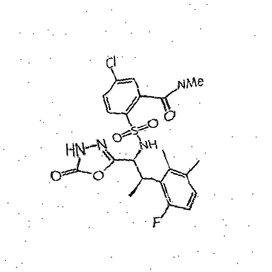 CNC(=O)c1cc(Cl)ccc1S(=O)(=O)N[C@H](c1n[nH]c(=O)o1)[C@H](C)c1c(F)ccc(C)c1C